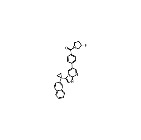 O=C(c1ccc(-c2cnc3ncc(C4(c5ccc6ncccc6c5)CC4)n3c2)cc1)N1CC[C@H](F)C1